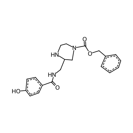 O=C(NCC1CN(C(=O)OCc2ccccc2)CCN1)c1ccc(O)cc1